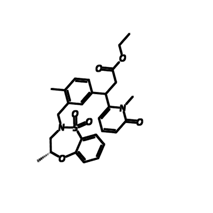 CCOC(=O)CC(c1ccc(C)c(CN2C[C@@H](C)Oc3ccccc3S2(=O)=O)c1)c1cccc(=O)n1C